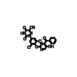 N#Cc1nn(-c2cc(Cl)c(Oc3ncc(O)c(C(=O)c4ccccc4)n3)c(Cl)c2)c(=O)[nH]c1=O